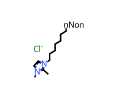 CCCCCCCCCCCCCCCCn1cc[n+](C)c1C.[Cl-]